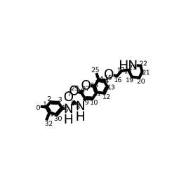 Cc1ccc(NC(=O)Nc2cc3ccc(OCCC4CCCCN4)c(C)c3oc2=O)cc1C